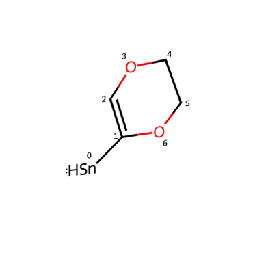 [SnH][C]1=COCCO1